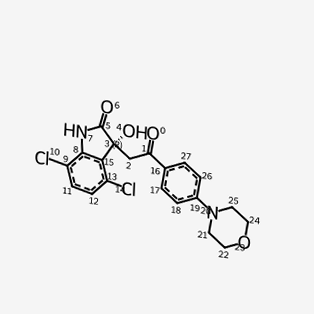 O=C(C[C@]1(O)C(=O)Nc2c(Cl)ccc(Cl)c21)c1ccc(N2CCOCC2)cc1